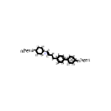 CCCCCC12CCC(c3ccc(CC/C=C/[C@H]4CC[C@H](CCCCC)CC4)cc3)(CC1)CC2